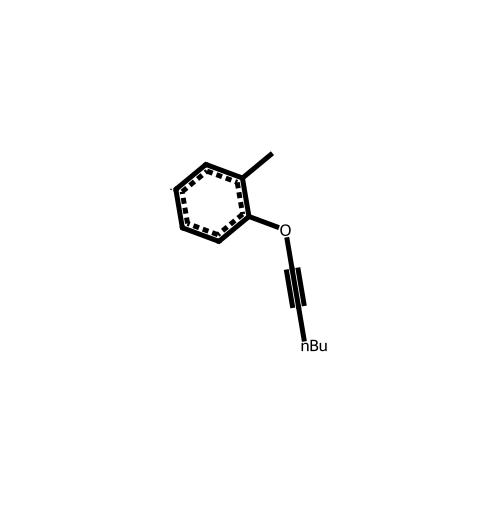 CCCCC#COc1cc[c]cc1C